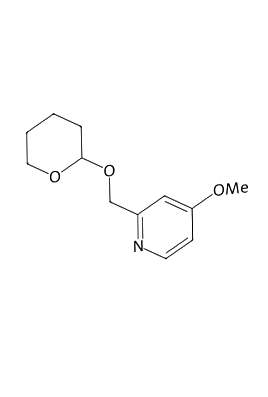 COc1ccnc(COC2CCCCO2)c1